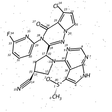 C[S@+]([O-])c1c[nH]c2ncnc(N3C[C@@H](C#N)C[C@H]3c3nn4ccc(Cl)c4c(=O)n3-c3cccc(F)n3)c12